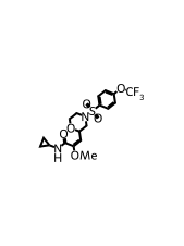 COC(=CC1CN(S(=O)(=O)c2ccc(OC(F)(F)F)cc2)CCO1)C(=O)NC1CC1